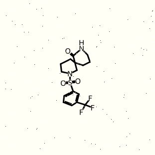 O=C1NCCCC12CCCN(S(=O)(=O)c1cccc(C(F)(F)F)c1)C2